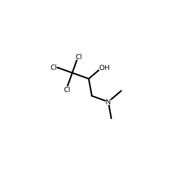 CN(C)CC(O)C(Cl)(Cl)Cl